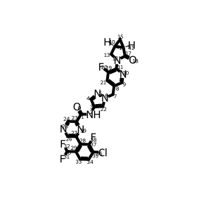 O=C(Nc1cnn(Cc2cnc(N3C[C@H]4C[C@H]4C3=O)c(F)c2)c1)c1cncc(-c2c(C(F)F)ccc(Cl)c2F)n1